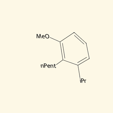 C[CH]CCCc1c(OC)cccc1C(C)C